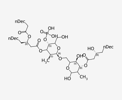 CCCCCCCCCCCC(=O)O[C@H](CCCCCCCCCCC)CC(=O)OC1[C@H](OP(=O)(O)O)C(CO)O[C@@H](OCC2OC(O)C(C)[C@@H](OC(=O)C[C@H](O)CCCCCCCCCCC)[C@@H]2O)[C@H]1C